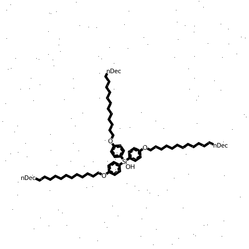 CCCCCCCCCCCCCCCCCCCCCCOc1ccc([Si](O)(c2ccc(OCCCCCCCCCCCCCCCCCCCCCC)cc2)c2ccc(OCCCCCCCCCCCCCCCCCCCCCC)cc2)cc1